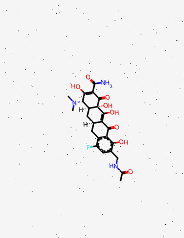 CC(=O)NCc1cc(F)c2c(c1O)C(=O)C1=C(O)[C@]3(O)C(=O)C(C(N)=O)=C(O)[C@@H](N(C)C)[C@@H]3C[C@@H]1C2